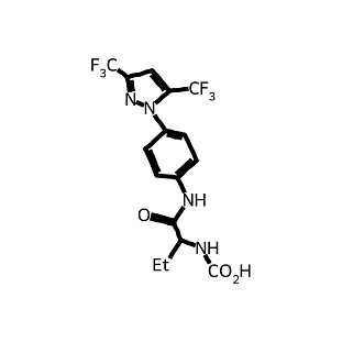 CCC(NC(=O)O)C(=O)Nc1ccc(-n2nc(C(F)(F)F)cc2C(F)(F)F)cc1